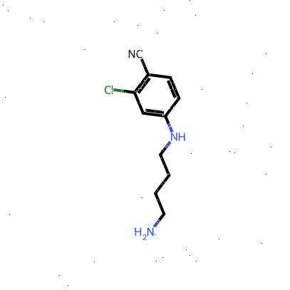 N#Cc1ccc(NCCCCN)cc1Cl